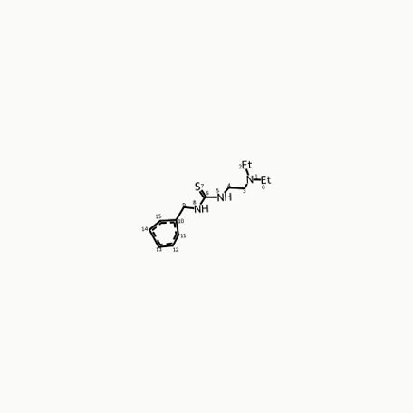 CCN(CC)CCNC(=S)NCc1ccccc1